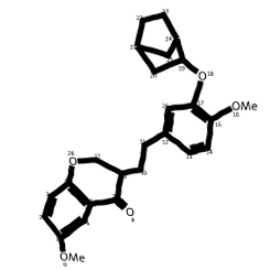 COc1ccc2c(c1)C(=O)C(CCc1ccc(OC)c(OC3CC4CCC3C4)c1)CO2